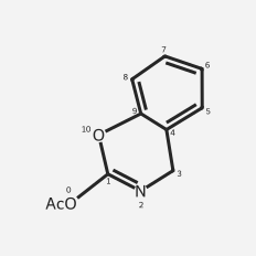 CC(=O)OC1=NCc2ccccc2O1